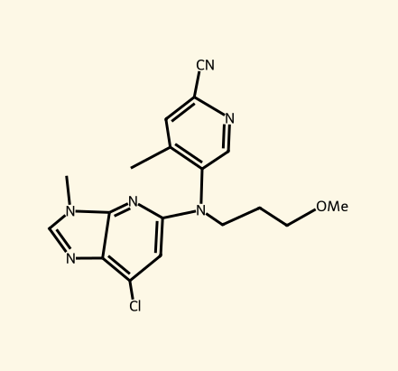 COCCCN(c1cc(Cl)c2ncn(C)c2n1)c1cnc(C#N)cc1C